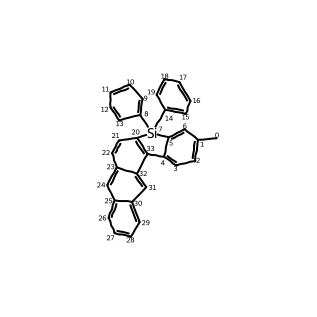 Cc1ccc2c(c1)[Si](c1ccccc1)(c1ccccc1)c1ccc3cc4ccccc4cc3c1-2